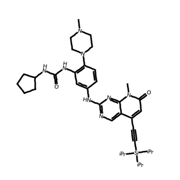 CC(C)[Si](C#Cc1cc(=O)n(C)c2nc(Nc3ccc(N4CCN(C)CC4)c(NC(=O)NC4CCCC4)c3)ncc12)(C(C)C)C(C)C